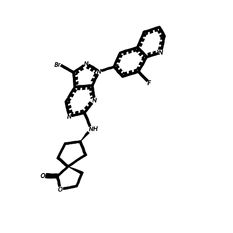 O=C1OCC[C@]12CC[C@@H](Nc1ncc3c(Br)nn(-c4cc(F)c5ncccc5c4)c3n1)C2